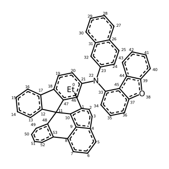 CCc1ccc2cccc3c2c1C1(c2ccccc2-c2ccc(N(c4ccc5ccccc5c4)c4cccc5oc6ccccc6c45)cc21)c1ccccc1-3